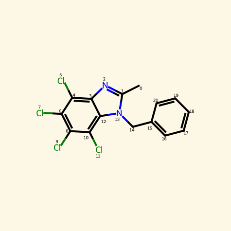 Cc1nc2c(Cl)c(Cl)c(Cl)c(Cl)c2n1Cc1ccccc1